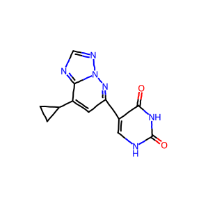 O=c1[nH]cc(-c2cc(C3CC3)c3ncnn3n2)c(=O)[nH]1